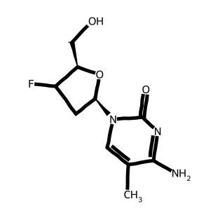 Cc1cn([C@H]2CC(F)[C@@H]([CH]O)O2)c(=O)nc1N